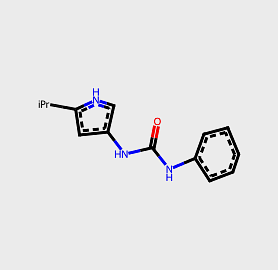 CC(C)c1cc(NC(=O)Nc2ccccc2)c[nH]1